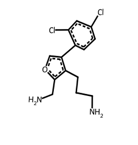 NCCCc1c(-c2ccc(Cl)cc2Cl)coc1CN